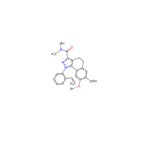 C=Cc1ccccc1-n1nc(C(=O)N(C)C(C)(C)C)c2c1-c1cc(OC(C)C)c(OC)cc1CC2